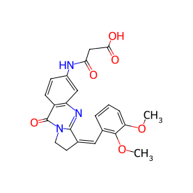 COc1cccc(/C=C2/CCn3c2nc2cc(NC(=O)CC(=O)O)ccc2c3=O)c1OC